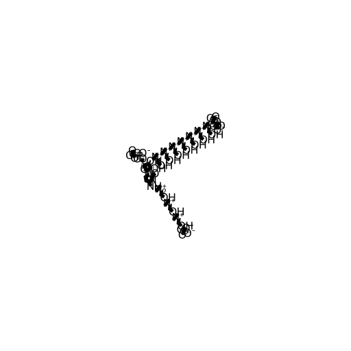 C[N+](C)(C)CCO.C[N+](C)(C)CCO.C[N+](C)(C)CCO.C[N+](C)(C)CCO.C[N+](C)(C)CCO.C[N+](C)(C)CCO.C[N+](C)(C)CCO.C[N+](C)(C)CCO.C[N+](C)(C)CCO.C[N+](C)(C)CCO.Nc1ccn([C@@H]2O[C@H](COP(=O)([O-])OP(=O)([O-])[O-])[C@@H](O)[C@H]2O)c(=O)n1.O=P([O-])([O-])OP(=O)([O-])[O-].O=P([O-])([O-])[O-]